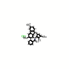 CCC1=[C](/[Zr+2](=[C](\CC)c2ccccc2)[c]2cc(C(C)(C)C)cc3c2Cc2ccc(C(C)(C)C)cc2-3)C(CC)C=C1C(C)(C)C.[Cl-].[Cl-]